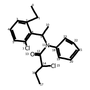 CCc1cccc(Cl)c1C(C)N(C(=O)C(Cl)CC)c1ccccc1